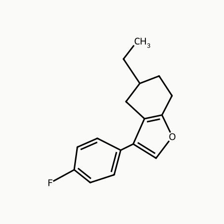 CCC1CCc2occ(-c3ccc(F)cc3)c2C1